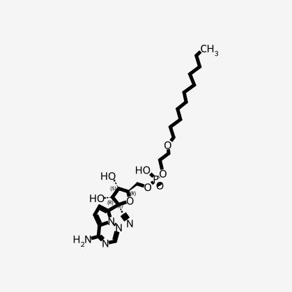 CCCCCCCCCCCOCCOP(=O)(O)OC[C@H]1O[C@@](C#N)(c2ccc3c(N)ncnn23)[C@H](O)[C@@H]1O